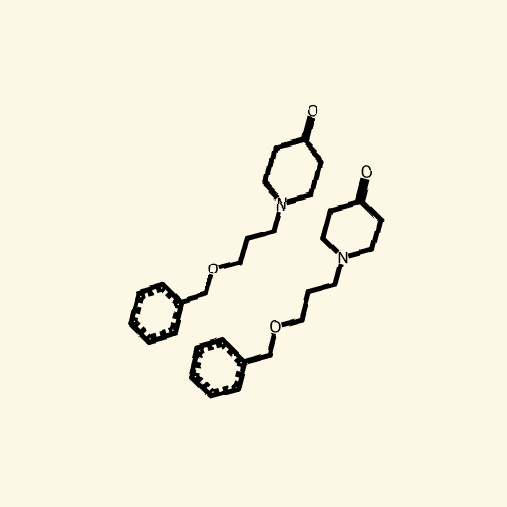 O=C1CCN(CCCOCc2ccccc2)CC1.O=C1CCN(CCCOCc2ccccc2)CC1